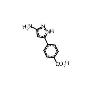 Nc1cc(-c2ccc(C(=O)O)cc2)[nH]n1